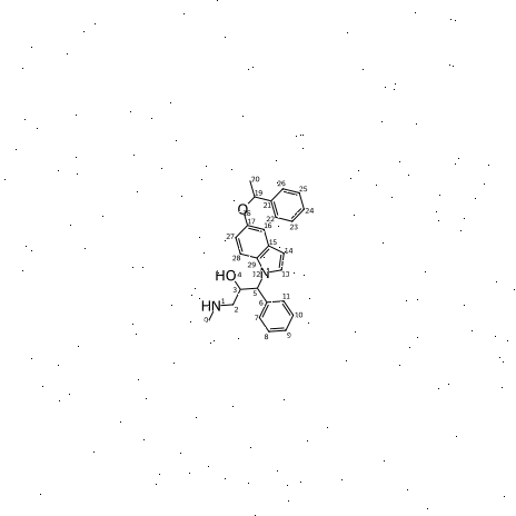 CNCC(O)C(c1ccccc1)n1ccc2cc(OC(C)c3ccccc3)ccc21